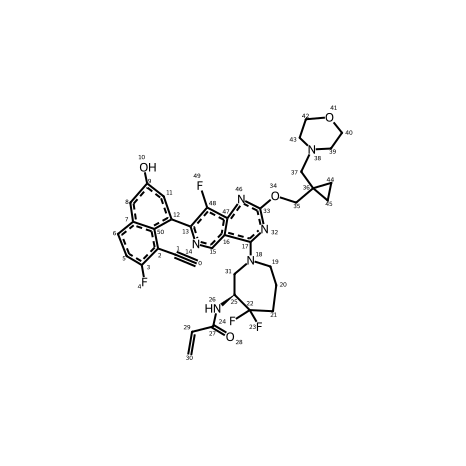 C#Cc1c(F)ccc2cc(O)cc(-c3ncc4c(N5CCCC(F)(F)[C@@H](NC(=O)C=C)C5)nc(OCC5(CN6CCOCC6)CC5)nc4c3F)c12